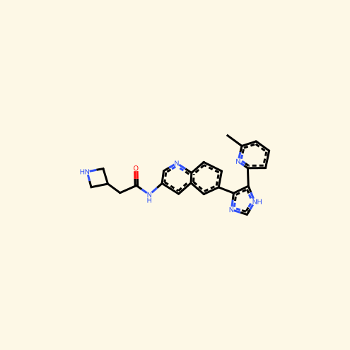 Cc1cccc(-c2[nH]cnc2-c2ccc3ncc(NC(=O)CC4CNC4)cc3c2)n1